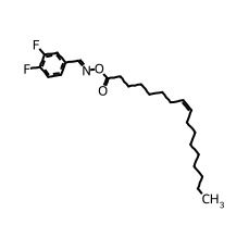 CCCCCCCC/C=C\CCCCCCC(=O)O/N=C/c1ccc(F)c(F)c1